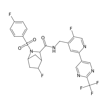 O=C(NCc1cc(-c2cnc(C(F)(F)F)nc2)ncc1F)C1C2CC(CC2F)N1S(=O)(=O)c1ccc(F)cc1